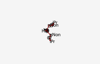 CCCCCCCCCC(CCCCCCCCOP(=O)(NCCN(C)C)OCCCCCCCCC(CCCCCCCCC)SCCCOC(=O)CC(C)c1ccc(C(C)C)cc1)SCCCOC(=O)CC(C)c1ccc(C(C)C)cc1